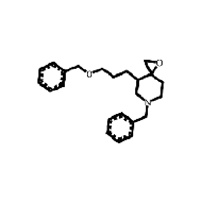 c1ccc(COCCCC2CN(Cc3ccccc3)CCC23CO3)cc1